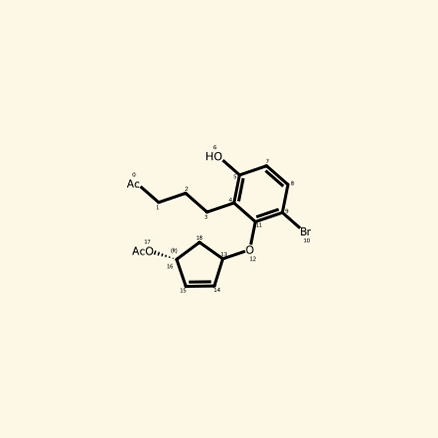 CC(=O)CCCc1c(O)ccc(Br)c1OC1C=C[C@H](OC(C)=O)C1